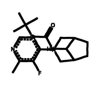 Cc1ncnc(N2CC3CCC(C2)C3NC(=O)OC(C)(C)C)c1F